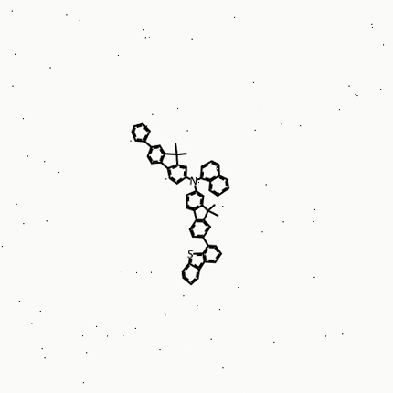 CC1(C)c2cc(-c3ccccc3)ccc2-c2ccc(N(c3ccc4c(c3)C(C)(C)c3cc(-c5cccc6c5sc5ccccc56)ccc3-4)c3cccc4ccccc34)cc21